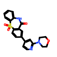 O=C1Nc2ccccc2S(=O)(=O)c2ccc(-c3ccnc(N4CCOCC4)c3)cc21